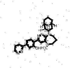 CN1CCCN([C@@H]2C[C@H]3CCC[C@H](N3)[C@@H]2F)c2nnc(-c3ccc(-c4cccnn4)cc3O)cc21